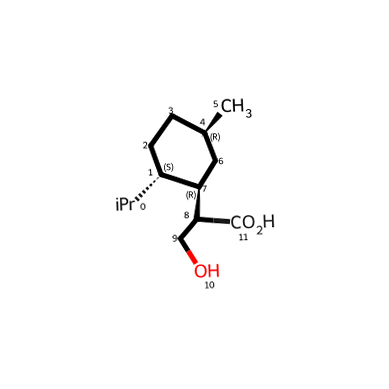 CC(C)[C@@H]1CC[C@@H](C)C[C@H]1C(CO)C(=O)O